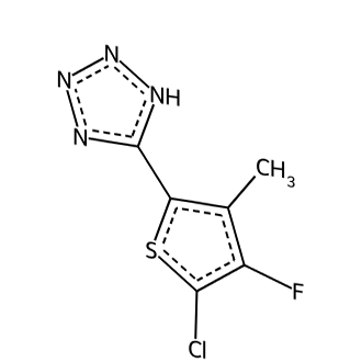 Cc1c(-c2nnn[nH]2)sc(Cl)c1F